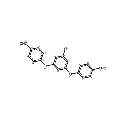 O=Cc1ccc(Oc2cc(Cl)cc(Oc3ccc(C=O)cc3)c2)cc1